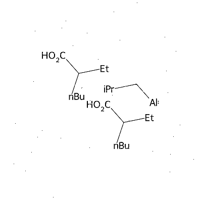 CC(C)[CH2][Al].CCCCC(CC)C(=O)O.CCCCC(CC)C(=O)O